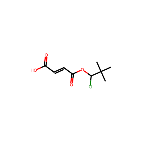 CC(C)(C)C(Cl)OC(=O)C=CC(=O)O